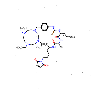 CSCCC(NC(=S)Nc1ccc(CN2CCN(CC(=O)O)CCN(CC(=O)O)CCN(CC(=O)O)CC2)cc1)C(=O)NC(C(=O)NC(CCCCN1C(=O)C=CC1=O)C(=O)O)C(C)C